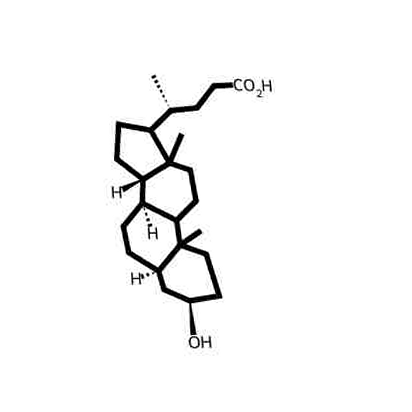 C[C@H](CCC(=O)O)C1CC[C@H]2[C@@H]3CC[C@@H]4C[C@H](O)CCC4(C)C3CCC12C